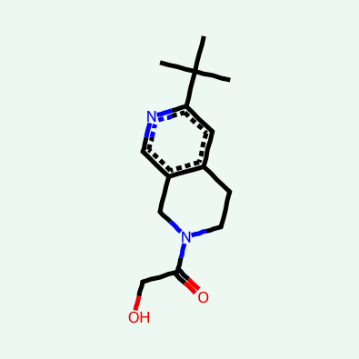 CC(C)(C)c1cc2c(cn1)CN(C(=O)CO)CC2